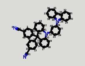 N#Cc1ccc(C2(c3ccc(C#N)cc3)c3ccccc3N(c3cccc(-n4c5ccccc5c5ccccc54)c3)c3ccccc32)cc1